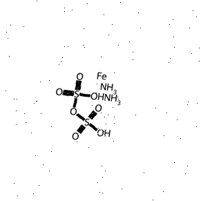 N.N.O=S(=O)(O)OS(=O)(=O)O.[Fe]